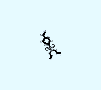 C=CCN(CC=C)S(=O)(=O)c1ccc(C=C)cc1